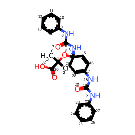 CC(C)(OC1(NC(=O)Nc2ccccc2)C=CC(NC(=O)Nc2ccccc2)=CC1)C(=O)O